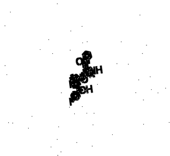 C[C@@H]1CN(CC(=O)N2CC(C)(C)c3ncc([C@@H](O)c4ccc(F)cc4)cc32)[C@@H](CN2Cc3ccccc3C2=O)CN1